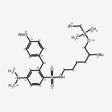 CCCCC(CCCCNS(=O)(=O)c1ccc(N(C)C)cc1Cc1ccc(OC)cc1)CO[Si](C)(C)CC(C)C